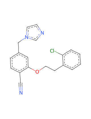 N#Cc1ccc(Cn2ccnc2)cc1OCCc1ccccc1Cl